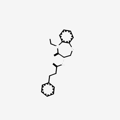 O=C(O)CN1C(=O)[C@@H](NC(=O)CCc2ccccc2)CNc2ccccc21